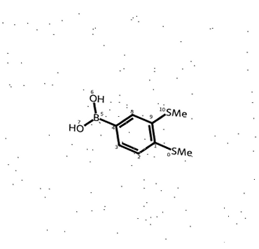 CSc1ccc(B(O)O)cc1SC